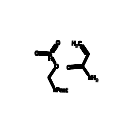 C=CC(N)=O.CCCCCCO[SH](=O)=O